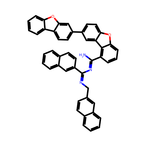 N/C(=N\C(=N/Cc1ccc2ccccc2c1)c1ccc2ccccc2c1)c1cccc2oc3ccc(-c4ccc5c(c4)oc4ccccc45)cc3c12